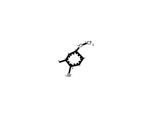 Cc1cc(OC(F)(F)F)ccc1Br